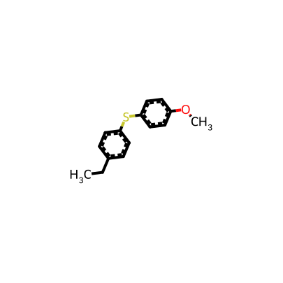 CCc1ccc(Sc2ccc(OC)cc2)cc1